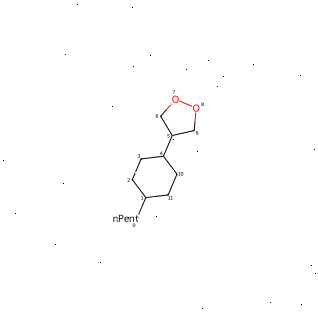 CCCCCC1CCC(C2COOC2)CC1